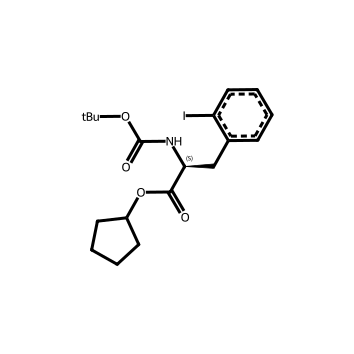 CC(C)(C)OC(=O)N[C@@H](Cc1ccccc1I)C(=O)OC1CCCC1